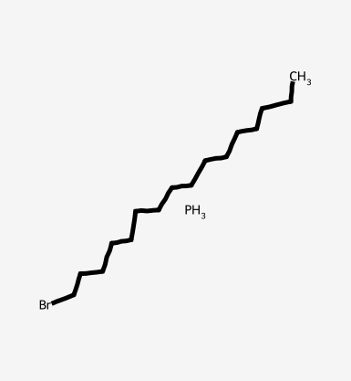 CCCCCCCCCCCCCCCCBr.P